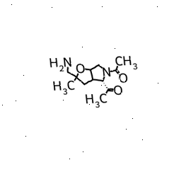 CC(=O)[C@@H]1C2CC(C)(CN)OC2CN1C(C)=O